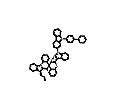 C=C/C=c1\c2n(c3ccccc13)-c1ccccc1C1(C=2C)c2ccccc2Sc2c1ccc1c2c2ccccc2n1-c1ccc2c3ccccc3n(-c3ccc(-c4ccccc4)cc3)c2c1